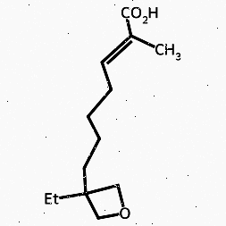 CCC1(CCCCC=C(C)C(=O)O)COC1